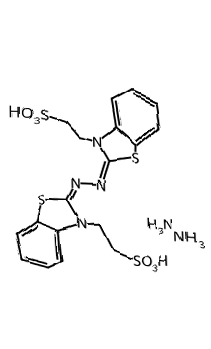 N.N.O=S(=O)(O)CCn1c(=NN=c2sc3ccccc3n2CCS(=O)(=O)O)sc2ccccc21